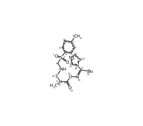 Cc1ccc(S(=O)(=O)CNSN(C)C(=O)ON=C(n2cncn2)C(C)(C)C)cc1